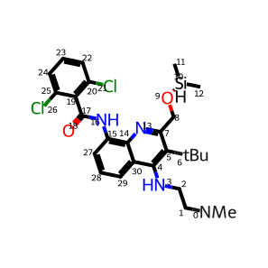 CNCCNc1c(C(C)(C)C)c(CO[SiH](C)C)nc2c(NC(=O)c3c(Cl)cccc3Cl)cccc12